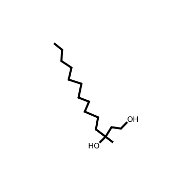 CCCCCCCCCCCC(C)(O)CCO